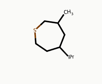 CC1CSCCC(C(C)C)C1